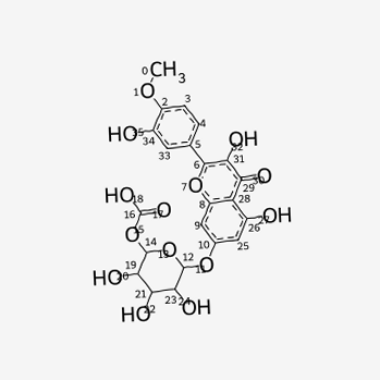 COc1ccc(-c2oc3cc(OC4OC(OC(=O)O)C(O)C(O)C4O)cc(O)c3c(=O)c2O)cc1O